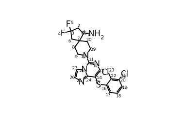 N[C@@H]1CC(F)(F)CC12CCN(c1ncc(Sc3cccc(Cl)c3Cl)c3nccn13)CC2